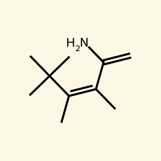 C=C(N)/C(C)=C(/C)C(C)(C)C